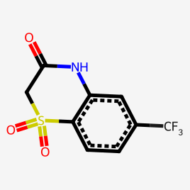 O=C1CS(=O)(=O)c2ccc(C(F)(F)F)cc2N1